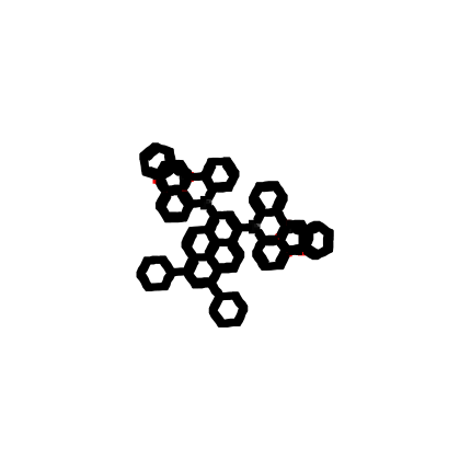 c1ccc(-c2ccccc2N(c2cc(N(c3ccccc3-c3ccccc3)c3cccc4c3oc3ccccc34)c3ccc4c(C5CCCCC5)cc(C5CCCCC5)c5ccc2c3c54)c2cccc3c2oc2ccccc23)cc1